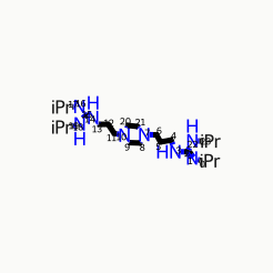 CC(C)N=C(NCCCN1CCN(CCCNC(=NC(C)C)NC(C)C)CC1)NC(C)C